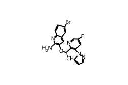 C[C@H](Oc1cc2cc(Br)ccc2nc1N)c1ncc(F)cc1-n1cccn1